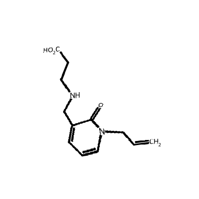 C=CCn1cccc(CNCCC(=O)O)c1=O